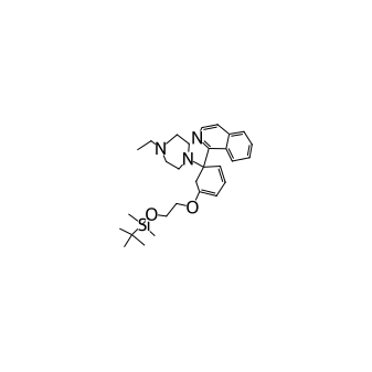 CCN1CCN(C2(c3nccc4ccccc34)C=CC=C(OCCO[Si](C)(C)C(C)(C)C)C2)CC1